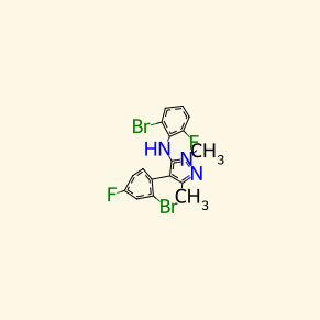 Cc1nn(C)c(Nc2c(F)cccc2Br)c1-c1ccc(F)cc1Br